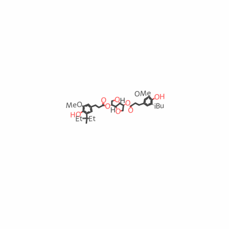 CC[C@@H](C)c1cc(CCC(=O)O[C@H]2CO[C@H]3[C@@H]2OC[C@H]3OC(=O)CCc2cc(OC)c(O)c(C(C)(CC)CC)c2)cc(OC)c1O